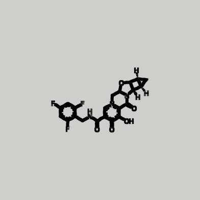 O=C(NCc1c(F)cc(F)cc1F)c1cn2c(c(O)c1=O)C(=O)N1C(C2)OC2[C@H]3C[C@H]3[C@@H]21